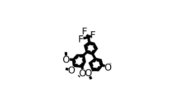 COc1cc(OC)cc(-c2ccc(C(F)(F)F)cc2-c2cc(OC)c(OC)c(OC)c2)c1